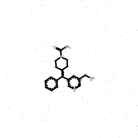 BC(=O)N1CCC(=C(c2ccccc2)c2cncc(CO)c2)CC1